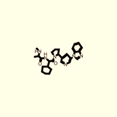 CNC(C)C(=O)NC(C(=O)N1CCCC1c1cncc(-n2cnc3ccccc32)c1)C1CCCCC1